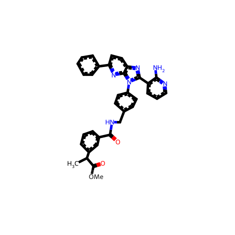 COC(=O)C(C)c1cccc(C(=O)NCc2ccc(-n3c(-c4cccnc4N)nc4ccc(-c5ccccc5)nc43)cc2)c1